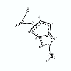 CNc1nc2ccc([N+](=O)[O-])cc2s1